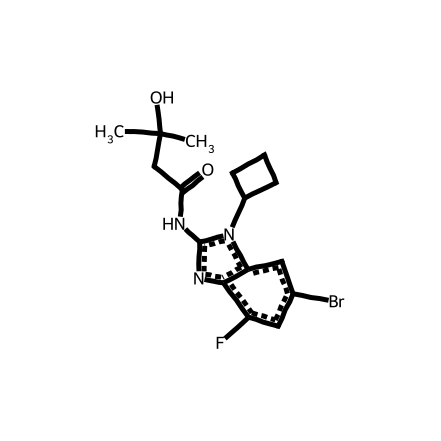 CC(C)(O)CC(=O)Nc1nc2c(F)cc(Br)cc2n1C1CCC1